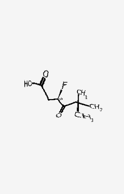 CC(C)(C)C(=O)[C@H](F)CC(=O)O